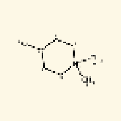 C[N+]1(C)CCC([O])CC1